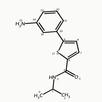 CC(C)NC(=O)c1ccc(-c2cccc(N)c2)s1